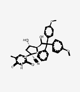 COc1ccc(C(c2ccccc2)(c2ccc(OC)cc2)C(O)[C@H]2O[C@@](C#N)(n3cc(C)c(=O)[nH]c3=O)C[C@@H]2O)cc1